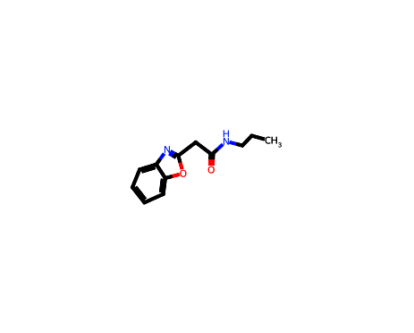 CCCNC(=O)Cc1nc2ccccc2o1